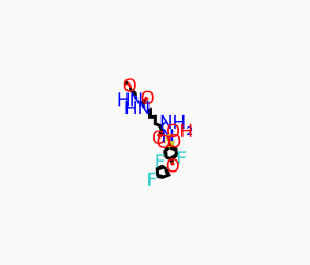 COCCNC(=O)NCCCC[C@@H](N)C(=O)N(O)S(=O)(=O)c1cc(F)c(Oc2ccc(F)cc2)c(F)c1